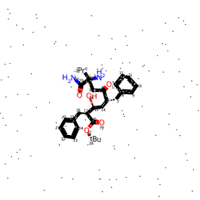 CC(C)C(N)(CC(=O)[C@H](Cc1ccccc1)C[C@H](O)[C@H](Cc1ccccc1)C(=O)OC(C)(C)C)C(N)=O